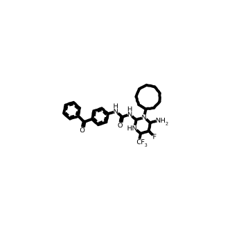 NC1C(F)C(C(F)(F)F)NC(NC(=O)Nc2ccc(C(=O)c3ccccc3)cc2)N1C1CCCCCCCC1